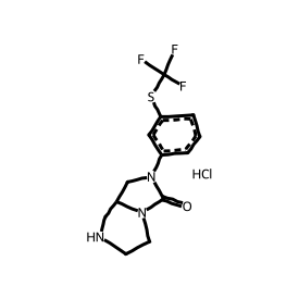 Cl.O=C1N(c2cccc(SC(F)(F)F)c2)CC2CNCCN12